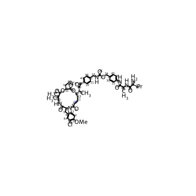 COc1ccc(CC2NC(=O)/C=C/C[C@@H](C(C)[C@H]3O[C@@H]3c3ccc(CNC(=O)OCc4ccc(NC(=O)[C@H](C)NC(=O)[C@@H](N)C(C)C)cc4)cc3)OC(=O)[C@H](CC(C)C)OC(=O)C(C)(C)CNC2=O)cc1Cl